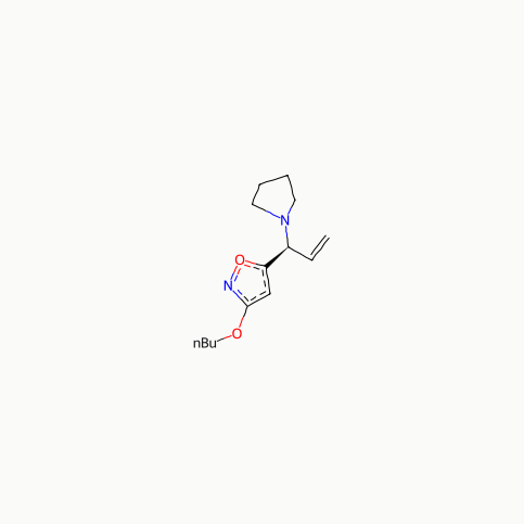 C=C[C@@H](c1cc(OCCCC)no1)N1CCCC1